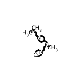 CN(C)CCN1CCC(CN(C)CCN2CCOCC2)CC1